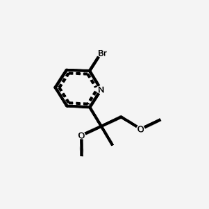 COCC(C)(OC)c1cccc(Br)n1